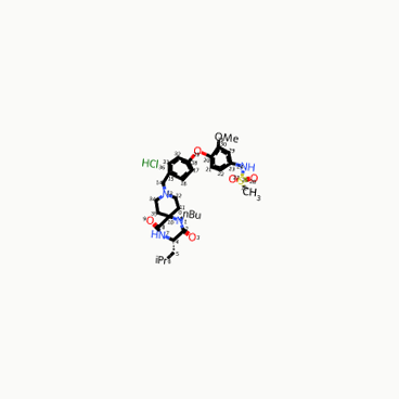 CCCCN1C(=O)[C@H](CC(C)C)NC(=O)C12CCN(Cc1ccc(Oc3ccc(NS(C)(=O)=O)cc3OC)cc1)CC2.Cl